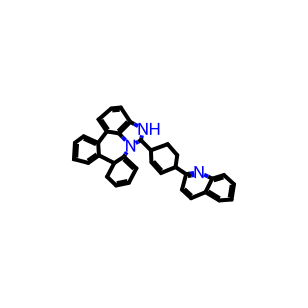 C1=CCC2C(=C1)N1c3c(cccc3-c3ccccc32)NC1C1C=CC(c2ccc3ccccc3n2)CC1